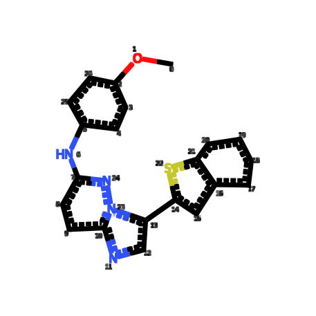 COc1ccc(Nc2ccc3ncc(-c4cc5ccccc5s4)n3n2)cc1